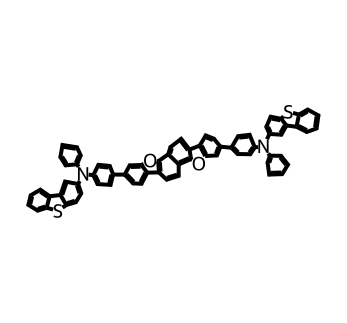 c1ccc(N(c2ccc(-c3ccc4c(c3)oc3c4ccc4c3ccc3c5ccc(-c6ccc(N(c7ccccc7)c7ccc8sc9ccccc9c8c7)cc6)cc5oc34)cc2)c2ccc3sc4ccccc4c3c2)cc1